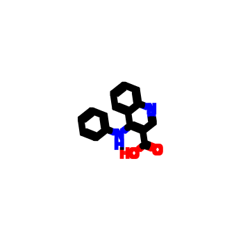 O=C(O)c1cnc2ccccc2c1Nc1ccccc1